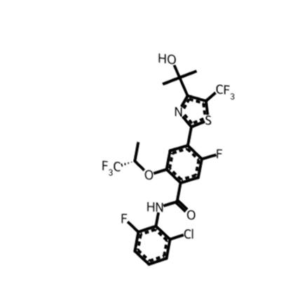 C[C@H](Oc1cc(-c2nc(C(C)(C)O)c(C(F)(F)F)s2)c(F)cc1C(=O)Nc1c(F)cccc1Cl)C(F)(F)F